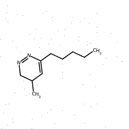 CCCCCC1=CC(C)CN=N1